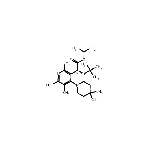 Cc1nc(C)c([C@H](OC(C)(C)C)C(=O)OC(C)C)c(N2CCC(C)(C)CC2)c1C